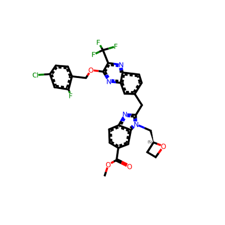 COC(=O)c1ccc2nc(Cc3ccc4nc(C(F)(F)F)c(OCc5ccc(Cl)cc5F)nc4c3)n(C[C@@H]3CCO3)c2c1